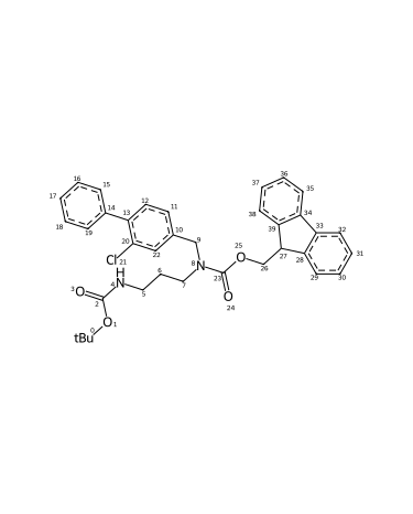 CC(C)(C)OC(=O)NCCCN(Cc1ccc(-c2ccccc2)c(Cl)c1)C(=O)OCC1c2ccccc2-c2ccccc21